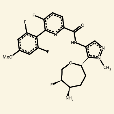 COc1cc(F)c(-c2nc(C(=O)Nc3cnn(C)c3[C@@H]3CC[C@@H](N)[C@@H](F)CO3)ccc2F)c(F)c1